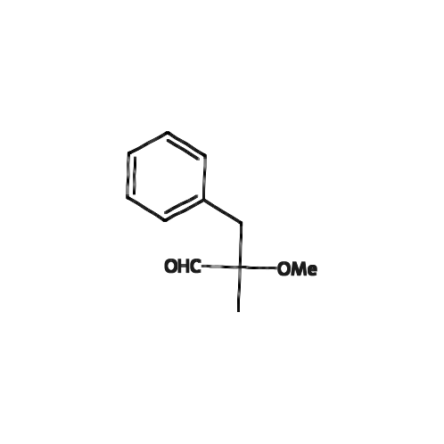 COC(C)(C=O)Cc1ccccc1